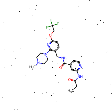 CCC(=O)Nc1cc(C(=O)NCc2ccc(OCC(F)(F)F)nc2N2CCN(C)CC2)ccn1